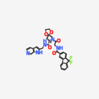 O=C(NCC(=O)N1CC2(C[C@H]1C(=O)NCc1cc3ccncc3[nH]1)OCCO2)c1ccc2c(c1)-c1ccccc1C2(F)F